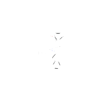 CCCN(C=Cc1ccccc1)C1CCc2cccc(O)c2C1